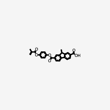 C=C(C)C(=O)Oc1ccc(OC(=O)c2ccc3c(c2)C(C)c2cc(C(=O)O)ccc2-3)cc1